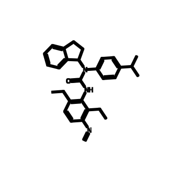 C=Nc1ccc(CC)c(NC(=O)N(c2ccc(C(C)C)cc2)C2CCc3ccccc32)c1CC